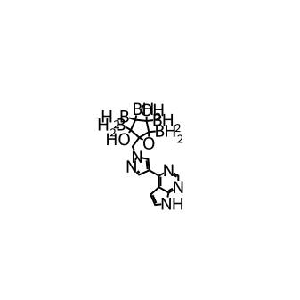 BC1(B)C(B)(O)C2(B)OC2(Cn2cc(-c3ncnc4[nH]ccc34)cn2)C1(B)O